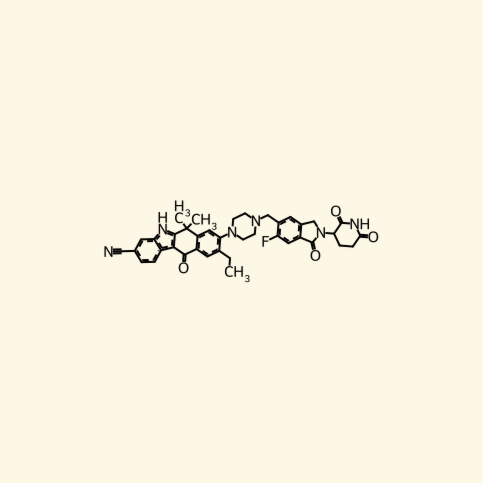 CCc1cc2c(cc1N1CCN(Cc3cc4c(cc3F)C(=O)N(C3CCC(=O)NC3=O)C4)CC1)C(C)(C)c1[nH]c3cc(C#N)ccc3c1C2=O